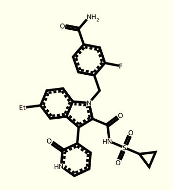 CCc1ccc2c(c1)c(-c1ccc[nH]c1=O)c(C(=O)NS(=O)(=O)C1CC1)n2Cc1ccc(C(N)=O)cc1F